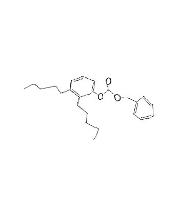 CCCCCc1cccc(OC(=O)OCc2ccccc2)c1CCCCC